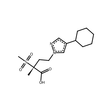 C[C@@](CCn1cc(C2CCCCC2)cn1)(C(=O)O)S(C)(=O)=O